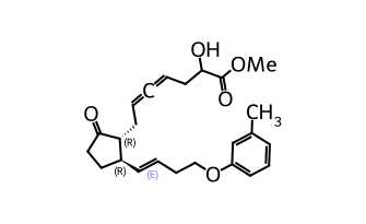 COC(=O)C(O)CC=C=CC[C@H]1C(=O)CC[C@@H]1/C=C/CCOc1cccc(C)c1